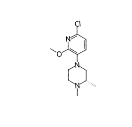 COc1nc(Cl)ccc1N1CCN(C)[C@@H](C)C1